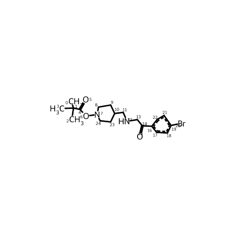 CC(C)(C)C(=O)ON1CCC(CNCC(=O)c2ccc(Br)cc2)CC1